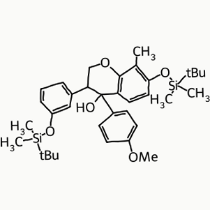 COc1ccc(C2(O)c3ccc(O[Si](C)(C)C(C)(C)C)c(C)c3OCC2c2cccc(O[Si](C)(C)C(C)(C)C)c2)cc1